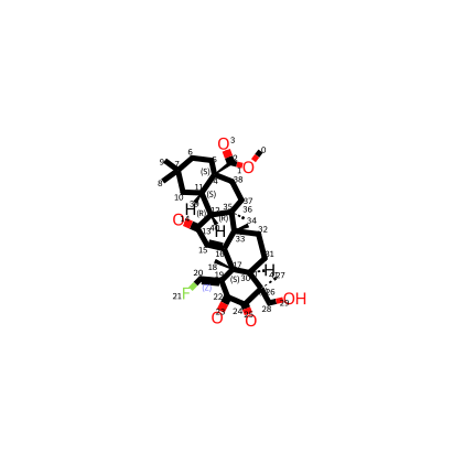 COC(=O)[C@]12CCC(C)(C)C[C@H]1[C@H]1C(=O)C=C3[C@@]4(C)/C(=C/F)C(=O)C(=O)[C@](C)(CO)[C@@H]4CC[C@@]3(C)[C@]1(C)CC2